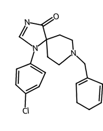 O=C1N=CN(c2ccc(Cl)cc2)C12CCN(CC1=CCCC=C1)CC2